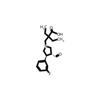 CCC(CC)(CN1C[C@H](c2cccc(F)c2)[C@@H](C=O)C1)C(=O)O